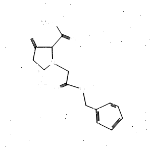 COC(=O)C1C(=O)C[C@@H](C)N1CC(=O)OCc1ccccc1